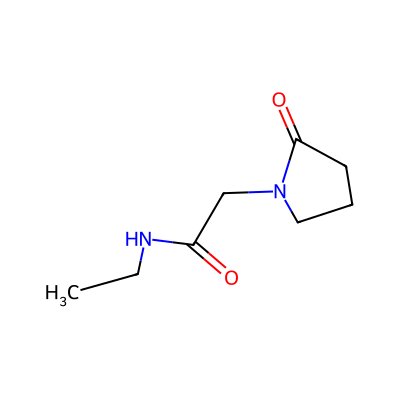 CCNC(=O)CN1CCCC1=O